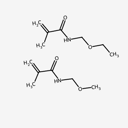 C=C(C)C(=O)NCOC.C=C(C)C(=O)NCOCC